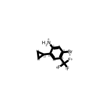 Nc1cc(Br)c(C(F)(F)F)cc1C1CC1